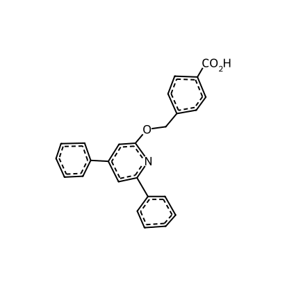 O=C(O)c1ccc(COc2cc(-c3ccccc3)cc(-c3ccccc3)n2)cc1